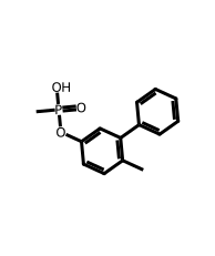 Cc1ccc(OP(C)(=O)O)cc1-c1ccccc1